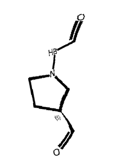 O=CBN1CC[C@H](C=O)C1